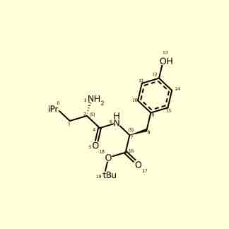 CC(C)C[C@H](N)C(=O)N[C@@H](Cc1ccc(O)cc1)C(=O)OC(C)(C)C